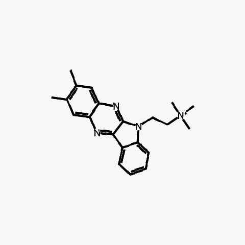 Cc1cc2nc3c4ccccc4n(CC[N+](C)(C)C)c3nc2cc1C